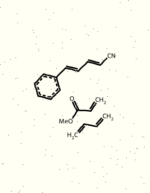 C=CC(=O)OC.C=CC=C.N#CC=CC=Cc1ccccc1